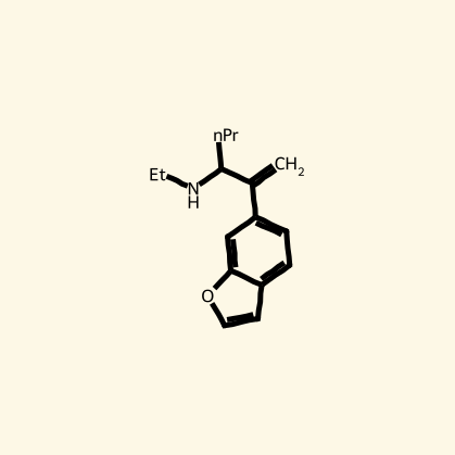 C=C(c1ccc2ccoc2c1)C(CCC)NCC